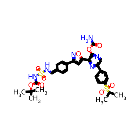 CC(C)S(=O)(=O)c1ccc(-c2cnc(OC(N)=O)c(-c3cc(C4=CCC(=CNS(=O)(=O)NC(=O)OC(C)(C)C)C=C4)no3)n2)cc1